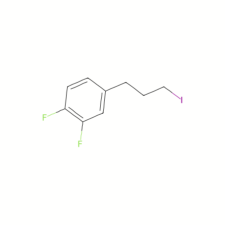 Fc1ccc(CCCI)cc1F